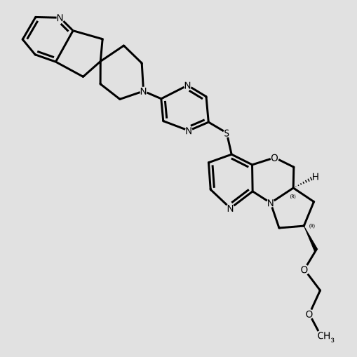 COCOC[C@@H]1C[C@@H]2COc3c(Sc4cnc(N5CCC6(CC5)Cc5cccnc5C6)cn4)ccnc3N2C1